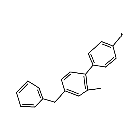 Cc1cc(Cc2ccccc2)ccc1-c1ccc(F)cc1